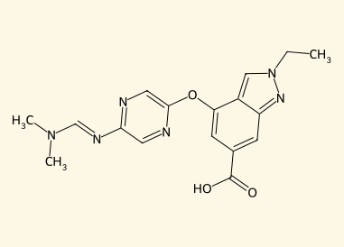 CCn1cc2c(Oc3cnc(N=CN(C)C)cn3)cc(C(=O)O)cc2n1